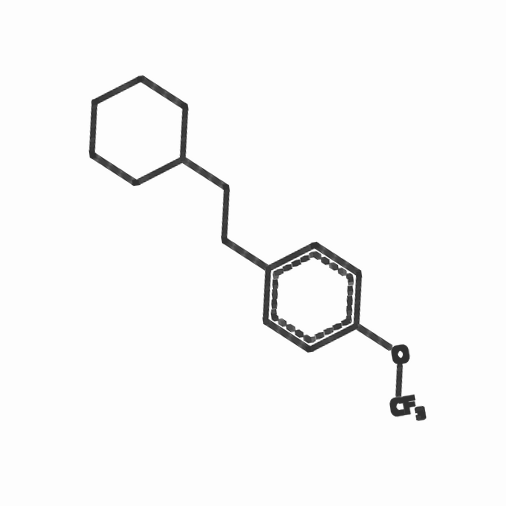 FC(F)(F)Oc1ccc(CCC2CCCCC2)cc1